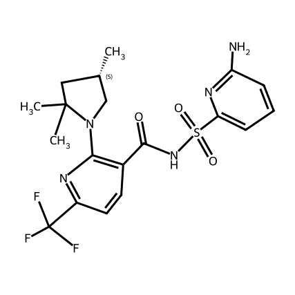 C[C@@H]1CN(c2nc(C(F)(F)F)ccc2C(=O)NS(=O)(=O)c2cccc(N)n2)C(C)(C)C1